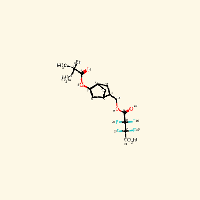 CCC(C)(C)C(=O)OC1CC2CC1CC2COC(=O)C(F)(F)C(F)(F)C(=O)O